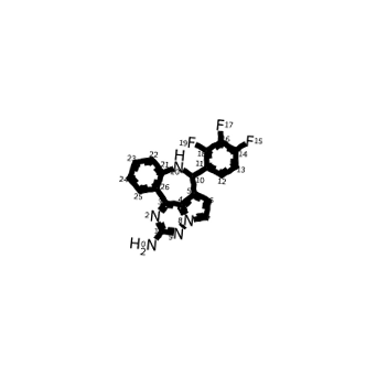 Nc1nc2c3c(ccn3n1)C(c1ccc(F)c(F)c1F)Nc1ccccc1-2